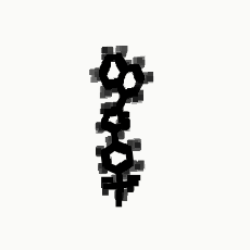 FC(F)(F)c1ccc(-c2ccc(-c3cccc4ccccc34)s2)cc1